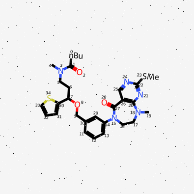 CCCCC(=O)N(C)CCC(OCc1cccc(N2CCN(C)c3nc(SC)ncc3C2=O)c1)c1cccs1